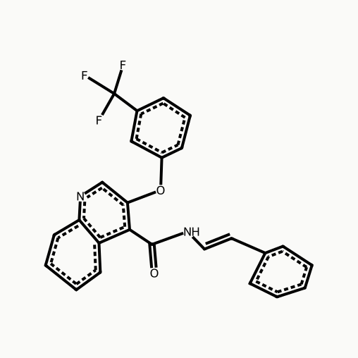 O=C(N/C=C/c1ccccc1)c1c(Oc2cccc(C(F)(F)F)c2)cnc2ccccc12